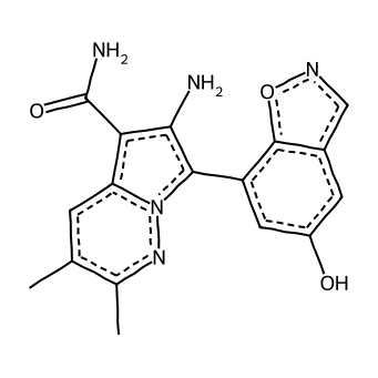 Cc1cc2c(C(N)=O)c(N)c(-c3cc(O)cc4cnoc34)n2nc1C